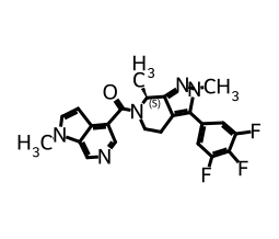 C[C@H]1c2nn(C)c(-c3cc(F)c(F)c(F)c3)c2CCN1C(=O)c1cncc2c1ccn2C